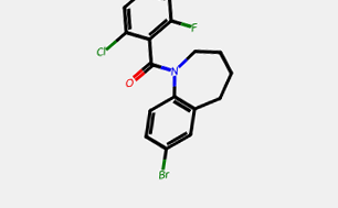 O=C(c1c(F)cccc1Cl)N1CCCCc2cc(Br)ccc21